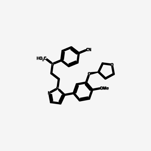 COc1ccc(-c2ccnn2CCN(C(=O)O)c2ccc(C#N)cc2)cc1O[C@@H]1CCOC1